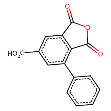 O=C(O)c1cc2c(c(-c3ccccc3)c1)C(=O)OC2=O